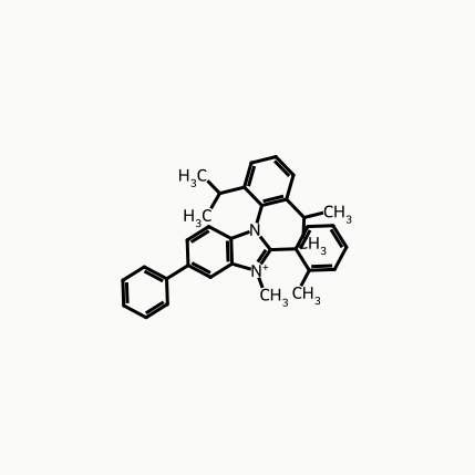 Cc1ccccc1-c1n(-c2c(C(C)C)cccc2C(C)C)c2ccc(-c3ccccc3)cc2[n+]1C